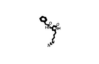 [N-]=[N+]=NCCCCc1cc(NC(=O)Cc2ccccc2)cc(=O)[nH]1